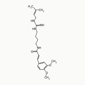 COc1ccc(/C=C/C(=O)NCCCCNC(=N)NCC=C(C)C)cc1OC